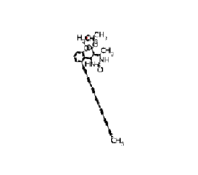 CC#CC#CC#CC#CC#CC#CC#Cc1cccc(OCC)c1C1NC(=O)NC(C)=C1C(=O)OC(C)C